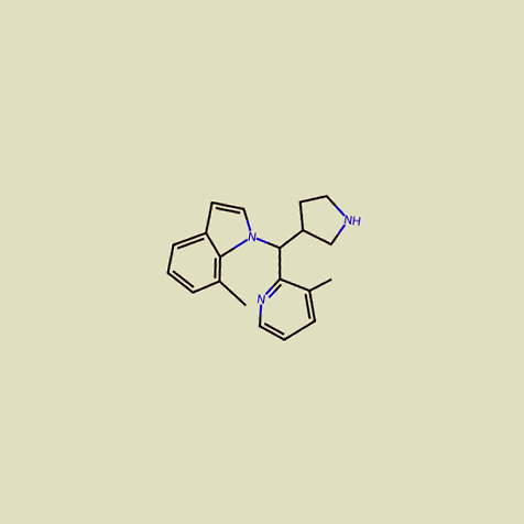 Cc1cccnc1C(C1CCNC1)n1ccc2cccc(C)c21